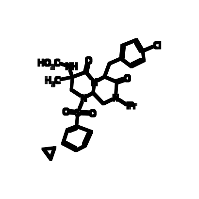 C1CC1.CC(C)N1CC2N(C(=O)C(C)(NC(=O)O)CN2S(=O)(=O)c2ccccc2)C(Cc2ccc(Cl)cc2)C1=O